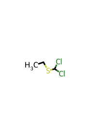 CCSC(Cl)Cl